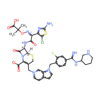 CC(C)(O/N=C(\C(=O)N[C@@H]1C(=O)N2C(C(=O)[O-])=C(C[n+]3ccc4ccn(Cc5ccc(C(=N)NC6CCCNC6)cc5F)c4c3)CS[C@H]12)c1nc(N)sc1Cl)C(=O)O